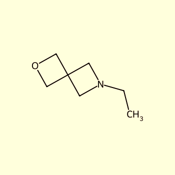 CCN1CC2(COC2)C1